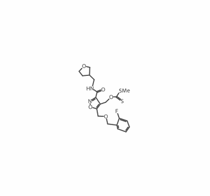 CSC(=S)OCc1c(C(=O)NCC2CCOC2)noc1COCc1ccccc1F